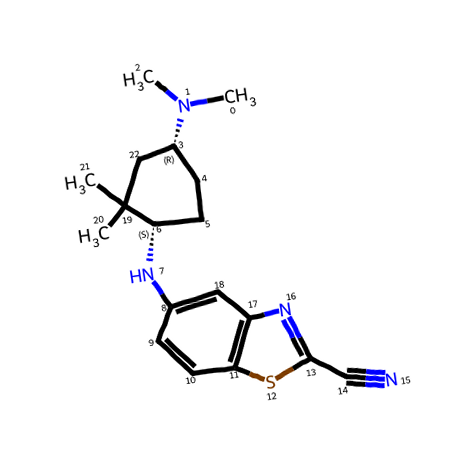 CN(C)[C@@H]1CC[C@H](Nc2ccc3sc(C#N)nc3c2)C(C)(C)C1